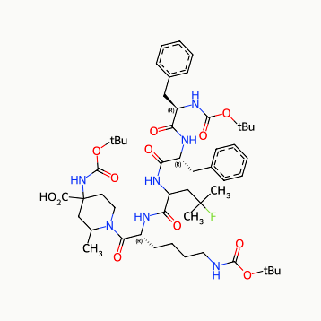 CC1CC(NC(=O)OC(C)(C)C)(C(=O)O)CCN1C(=O)[C@@H](CCCCNC(=O)OC(C)(C)C)NC(=O)C(CC(C)(C)F)NC(=O)[C@@H](Cc1ccccc1)NC(=O)[C@@H](Cc1ccccc1)NC(=O)OC(C)(C)C